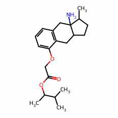 CC(C)C(C)OC(=O)COc1cccc2c1CC1CCC(C)C1(N)C2